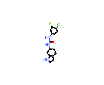 O=C(Nc1ccc(Cl)c(F)c1)Nc1ccc2cc[nH]c2c1